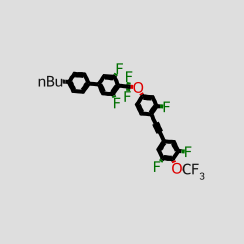 CCCCc1ccc(-c2cc(F)c(C(F)(F)Oc3ccc(C#Cc4cc(F)c(OC(F)(F)F)c(F)c4)c(F)c3)c(F)c2)cc1